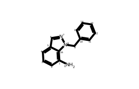 Nc1cccc2cnn(Cc3ccccc3)c12